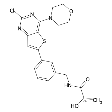 C[C@H](O)C(=O)NCc1cccc(-c2cc3nc(Cl)nc(N4CCOCC4)c3s2)c1